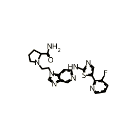 NC(=O)C1CCCN1CCn1cnc2cnc(Nc3ncc(-c4ncccc4F)s3)cc21